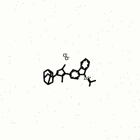 C[C](C)=[Zr+2][CH]1c2ccccc2-c2cc(C3=C(C)C(C45CC6CC(CC(C6)C4)C5)=CC3C)ccc21.[Cl-].[Cl-]